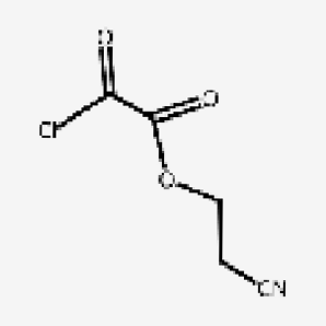 N#CCCOC(=O)C(=O)Cl